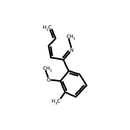 C=C/C=C\C(=N/C)c1cccc(C)c1OC